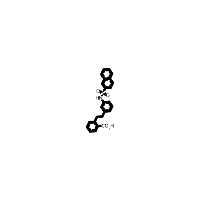 O=C(O)c1ccccc1CCc1cccc(NS(=O)(=O)c2ccc3ccccc3c2)c1